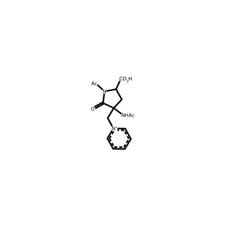 CC(=O)NC1(C[n+]2ccccc2)CC(C(=O)O)N(C(C)=O)C1=O